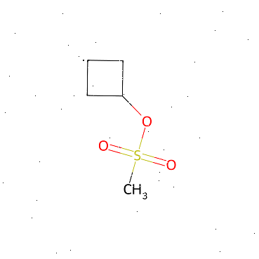 CS(=O)(=O)OC1C[CH]C1